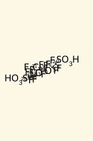 O=S(=O)(O)C(F)(F)C(F)(F)OC(F)(F)C(F)(OC(F)(F)C(F)(F)S(=O)(=O)O)C(F)(F)F